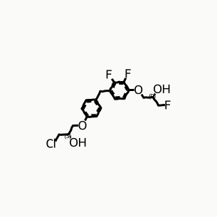 O[C@H](CCl)COc1ccc(Cc2ccc(OC[C@@H](O)CF)c(F)c2F)cc1